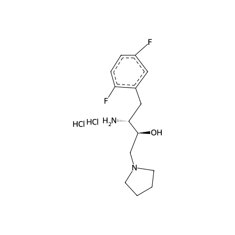 Cl.Cl.N[C@H](Cc1cc(F)ccc1F)[C@@H](O)CN1CCCC1